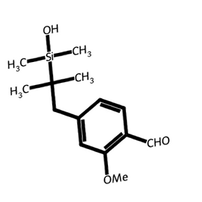 COc1cc(CC(C)(C)[Si](C)(C)O)ccc1C=O